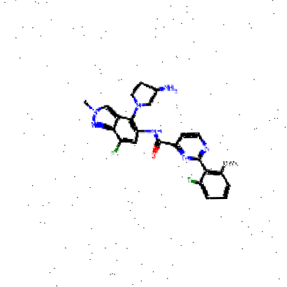 COc1cccc(F)c1-c1nccc(C(=O)Nc2cc(F)c3nn(C)cc3c2N2CCC(N)C2)n1